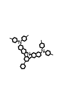 Cc1ccc(N(c2ccc(C)cc2)c2ccc3cc4c5cc(-c6ccccc6)cc6c7cc8ccc(N(c9ccc(C)cc9)c9ccc(C)cc9)cc8cc7n(c4cc3c2)c56)cc1